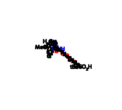 COc1ccc2c(c1)C(c1ccc(Cl)cc1)=N[C@@H](CC(=O)NCCOCCOCCOCCOCCN(C(=O)O)C(C)(C)C)c1nnc(C)n1-2